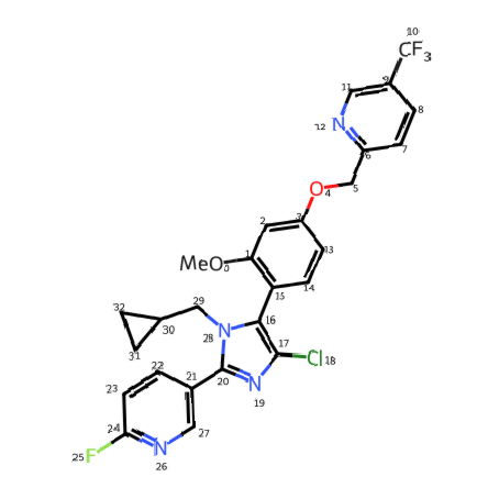 COc1cc(OCc2ccc(C(F)(F)F)cn2)ccc1-c1c(Cl)nc(-c2ccc(F)nc2)n1CC1CC1